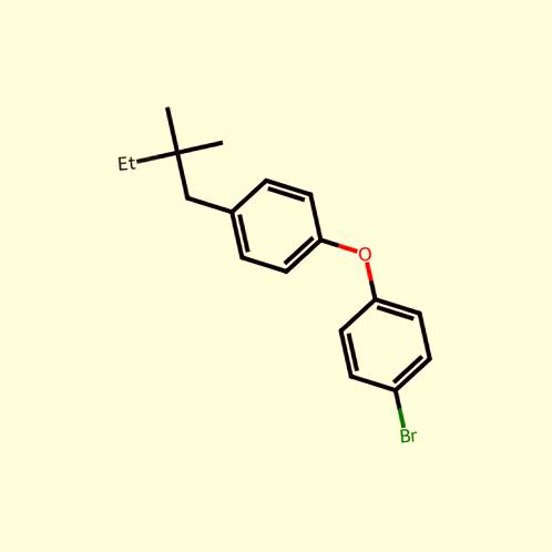 CCC(C)(C)Cc1ccc(Oc2ccc(Br)cc2)cc1